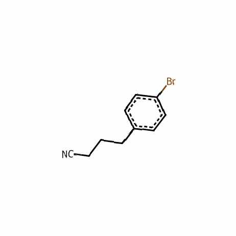 N#CCCCc1ccc(Br)cc1